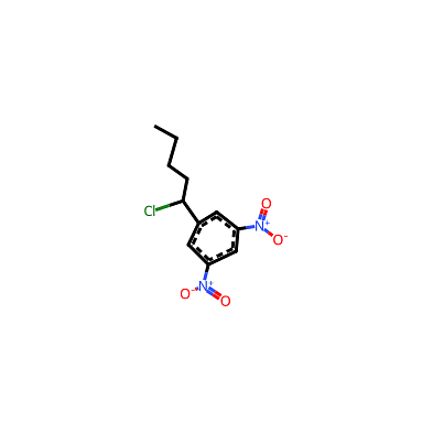 CCCCC(Cl)c1cc([N+](=O)[O-])cc([N+](=O)[O-])c1